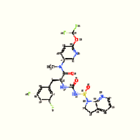 CN(C(=O)[C@H](Cc1cc(F)cc(F)c1)NC(=O)N[S+]([O-])N1CCc2cccnc21)c1ccc(OC(F)F)nc1